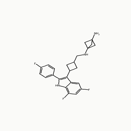 NC12CC(NCC3CC(c4c(-c5ccc(F)cc5)[nH]c5c(F)cc(F)cc45)C3)(C1)C2